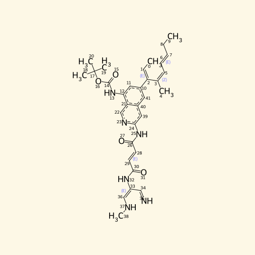 C\C=C(/C(C)=C\C=C\CC)c1cc(NC(=O)OC(C)(C)C)c2cnc(NC(=O)/C=C/C(=O)N/C(C=N)=C/NC)cc2c1